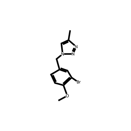 COc1ccc(Cn2cc(C)nn2)cc1Br